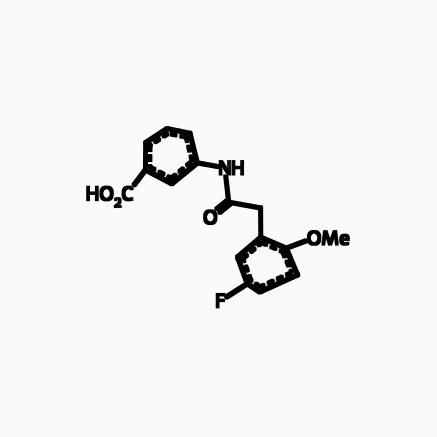 COc1ccc(F)cc1CC(=O)Nc1cccc(C(=O)O)c1